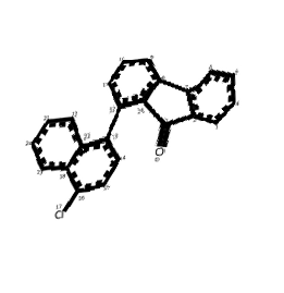 O=C1c2ccccc2-c2cccc(-c3ccc(Cl)c4ccccc34)c21